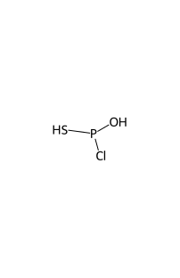 OP(S)Cl